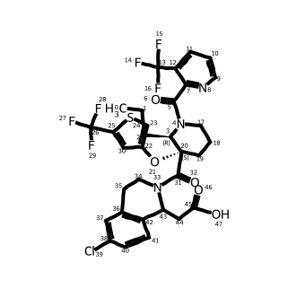 CCC[C@H]1N(C(=O)c2ncccc2C(F)(F)F)CCC[C@@]1(Oc1csc(C(F)(F)F)c1)C(=O)N1CCc2cc(Cl)ccc2C1CC(=O)O